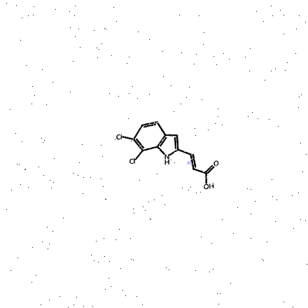 O=C(O)/C=C/c1cc2ccc(Cl)c(Cl)c2[nH]1